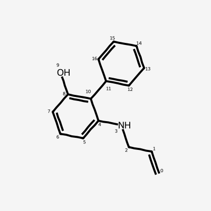 C=CCNc1cccc(O)c1-c1ccccc1